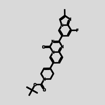 Cc1cn2cc(-c3nc(=O)n4cc(C5=CCN(C(=O)OC(C)(C)C)CC5)ccc4n3)cc(F)c2n1